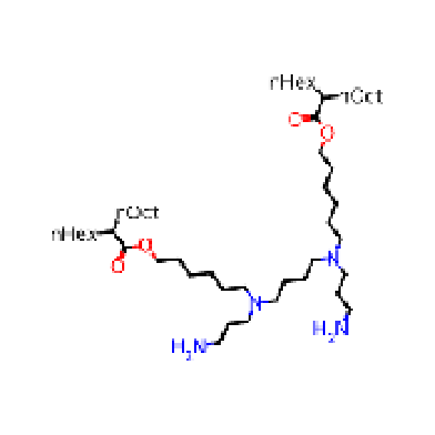 CCCCCCCCC(CCCCCC)C(=O)OCCCCCCN(CCCN)CCCCN(CCCN)CCCCCCOC(=O)C(CCCCCC)CCCCCCCC